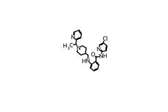 CC(c1ccccn1)N1CCC(CNc2ccccc2C(=O)Nc2ccc(Cl)cn2)CC1